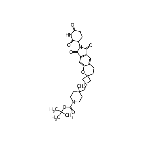 CC1(CN2CC3(CCc4cc5c(cc4O3)C(=O)N(C3CCC(=O)NC3=O)C5=O)C2)CCN(C(=O)OC(C)(C)C)CC1